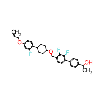 C=CCOc1ccc(C2CCC(OCc3ccc(-c4ccc(C(C)O)cc4)c(F)c3F)CC2)c(F)c1